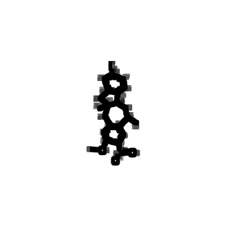 COc1cc2c(cc1[N+](=O)[O-])C(C)CC1c3ccc(F)cc3CC1(C)C2